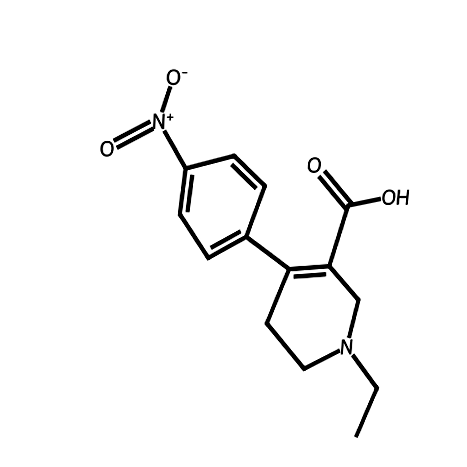 CCN1CCC(c2ccc([N+](=O)[O-])cc2)=C(C(=O)O)C1